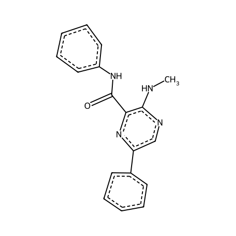 CNc1ncc(-c2ccccc2)nc1C(=O)Nc1ccccc1